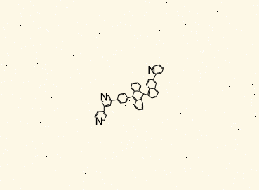 c1ccc(-c2ccc3c(-c4c5ccccc5c(-c5ccc(-c6cncc(-c7ccncc7)c6)cc5)c5ccccc45)cccc3c2)nc1